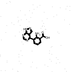 Nc1c(C(=O)O)cccc1-c1ncnc2[nH]ncc12